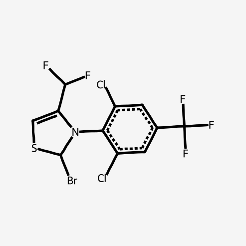 FC(F)C1=CSC(Br)N1c1c(Cl)cc(C(F)(F)F)cc1Cl